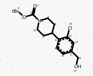 CC(C)(C)OC(=O)N1CCC(c2ccc(CO)cc2Cl)CC1